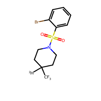 [2H]C1(C(F)(F)F)CCN(S(=O)(=O)c2ccccc2Br)CC1